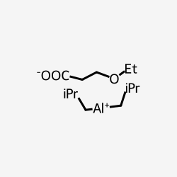 CC(C)[CH2][Al+][CH2]C(C)C.CCOCCC(=O)[O-]